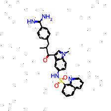 CC(Cc1ccc(C(=N)N)cc1)C(=O)c1cn(C)c2ccc(NS(=O)(=O)c3cccc4cccnc34)cc12